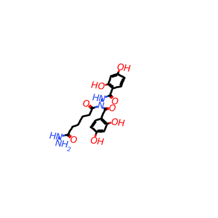 NNC(=O)CCCCC(=O)N(NC(=O)c1ccc(O)cc1O)C(=O)c1ccc(O)cc1O